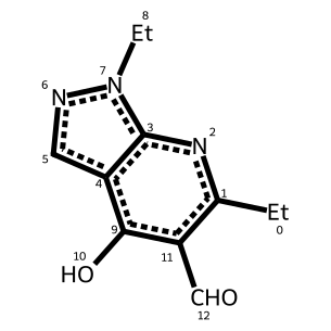 CCc1nc2c(cnn2CC)c(O)c1C=O